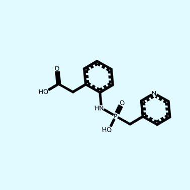 O=C(O)Cc1ccccc1NP(=O)(O)Cc1cccnc1